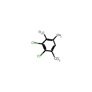 Cc1cc(C(Cl)(Cl)Cl)c(Cl)c(Cl)c1C(Cl)(Cl)Cl